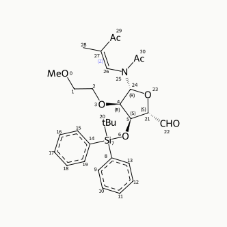 COCCO[C@@H]1[C@H](O[Si](c2ccccc2)(c2ccccc2)C(C)(C)C)[C@@H](C=O)O[C@H]1N(/C=C(/C)C(C)=O)C(C)=O